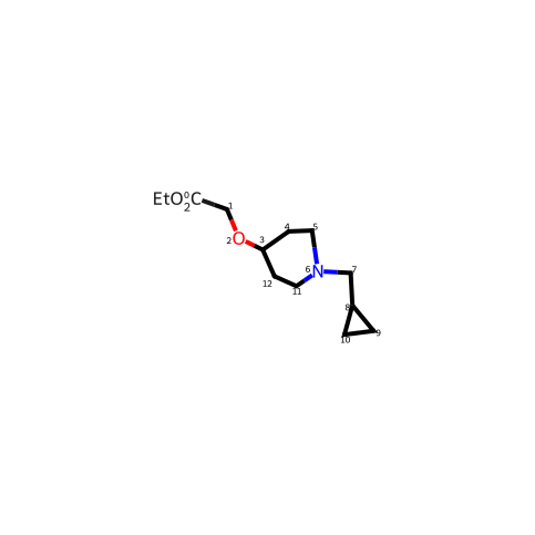 CCOC(=O)COC1CCN(CC2CC2)CC1